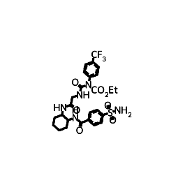 CCOC(=O)N(C(=O)NCC(=O)NC1CCCCC1NC(=O)c1ccc(S(N)(=O)=O)cc1)c1ccc(C(F)(F)F)cc1